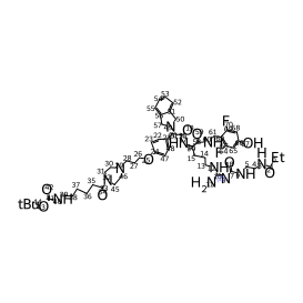 CCC(=O)NCCNC(=O)/N=C(/N)NCCC[C@@H](NC(=O)[C@H](c1ccc(OCCCN2CCN(C(=O)CCCCCNC(=O)OC(C)(C)C)CC2)cc1)N1Cc2ccccc2C1)C(=O)NCc1c(F)cc(O)cc1F